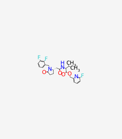 CC(C)[C@H](NC(=O)C[C@@H]1CCC(=O)N1Cc1cccc(F)c1F)C(=O)OCc1cccc(F)n1